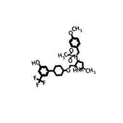 COc1ccc(CN([C@H]2C[C@@H](C)N[C@H]2COC2CCC(c3cc(O)cc(C(F)(F)F)c3)CC2)S(C)(=O)=O)cc1